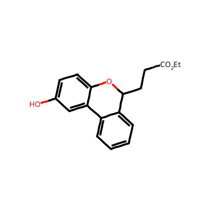 CCOC(=O)CCC1Oc2ccc(O)cc2-c2ccccc21